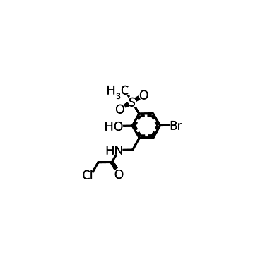 CS(=O)(=O)c1cc(Br)cc(CNC(=O)CCl)c1O